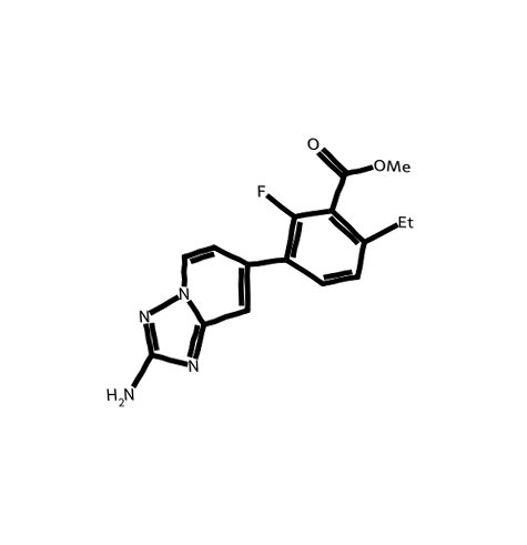 CCc1ccc(-c2ccn3nc(N)nc3c2)c(F)c1C(=O)OC